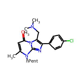 CCCCCn1c(C)cc(=O)n2c(CN(C)C)c(-c3ccc(Cl)cc3)nc12